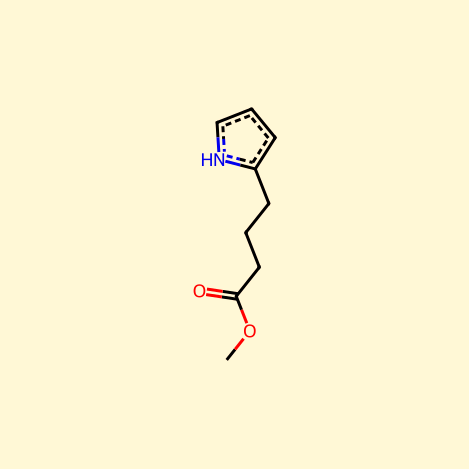 COC(=O)CCCc1ccc[nH]1